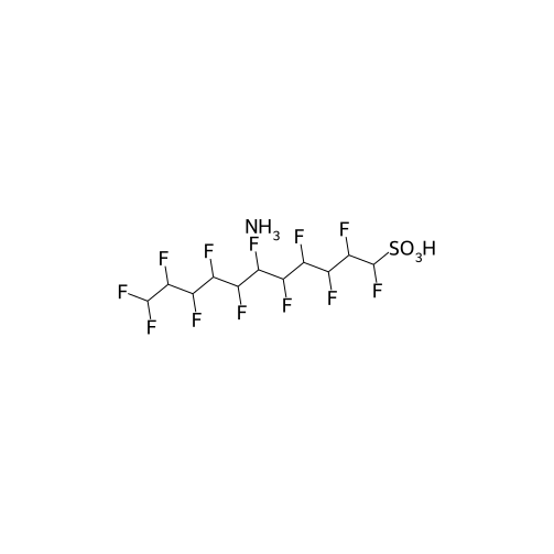 N.O=S(=O)(O)C(F)C(F)C(F)C(F)C(F)C(F)C(F)C(F)C(F)C(F)C(F)F